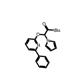 CC(C)(C)C(=O)C(Oc1cccc(-c2ccccc2)n1)n1cccc1